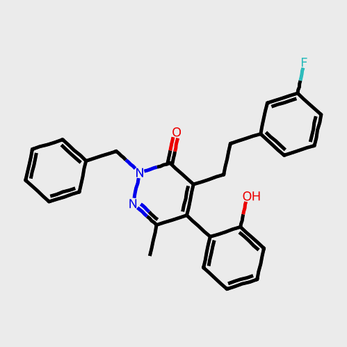 Cc1nn(Cc2ccccc2)c(=O)c(CCc2cccc(F)c2)c1-c1ccccc1O